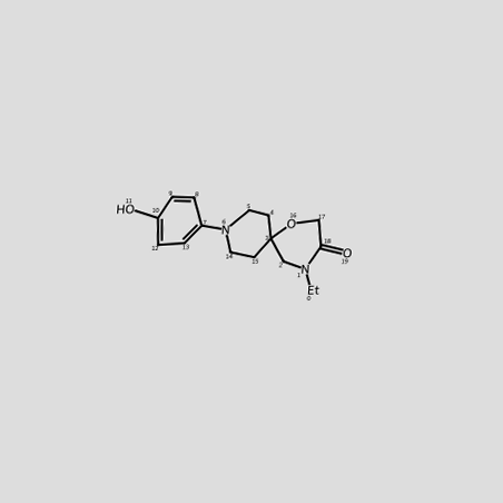 CCN1CC2(CCN(c3ccc(O)cc3)CC2)OCC1=O